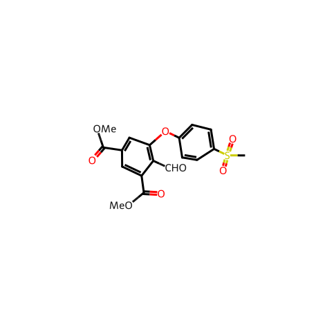 COC(=O)c1cc(Oc2ccc(S(C)(=O)=O)cc2)c(C=O)c(C(=O)OC)c1